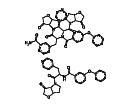 NC(=O)c1cc(CC(C(=O)N2CCC3OCC(=O)C32)N(C(=O)c2ccc(Oc3ccccc3)cc2)C(Cc2ccncc2)C(=O)N2CCC3OCC(=O)C32)ccn1.O=C(NC(Cc1ccncc1)C(=O)N1CCC2OCC(=O)C21)c1cccc(Oc2ccccc2)c1